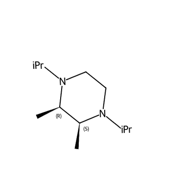 CC(C)N1CCN(C(C)C)[C@@H](C)[C@H]1C